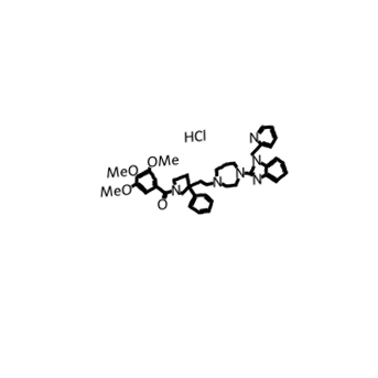 COc1cc(C(=O)N2CCC(CCN3CCCN(c4nc5ccccc5n4Cc4ccccn4)CC3)(c3ccccc3)C2)cc(OC)c1OC.Cl